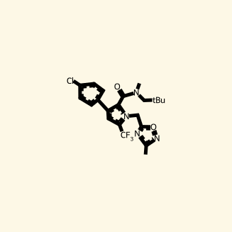 Cc1noc(Cn2c(C(F)(F)F)cc(-c3ccc(Cl)cc3)c2C(=O)N(C)CC(C)(C)C)n1